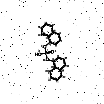 O=P(O)(Oc1cccc2cccnc12)Oc1cccc2cccnc12